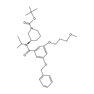 COCCCOc1cc(OCc2ccccc2)cc(C(=O)N(C(C)C)[C@@H]2CCCN(C(=O)OC(C)(C)C)C2)c1